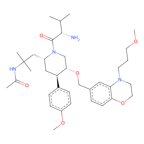 COCCCN1CCOc2ccc(CO[C@H]3CN(C(=O)[C@@H](N)C(C)C)[C@@H](CC(C)(C)NC(C)=O)C[C@@H]3c3ccc(OC)cc3)cc21